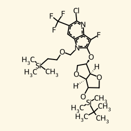 CC(C)(C)[Si](C)(C)OC1CO[C@H]2[C@@H]1OC[C@H]2Oc1c(F)c2nc(Cl)c(C(F)(F)F)cc2n1COCC[Si](C)(C)C